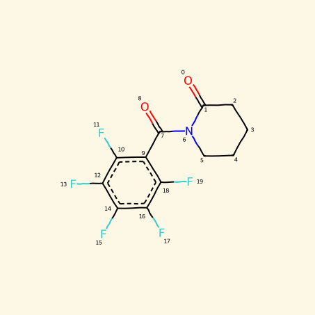 O=C1CCCCN1C(=O)c1c(F)c(F)c(F)c(F)c1F